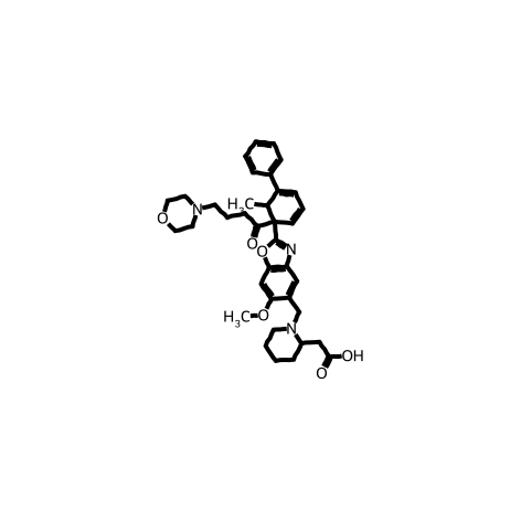 COc1cc2oc(C3(C(=O)CCCN4CCOCC4)C=CC=C(c4ccccc4)C3C)nc2cc1CN1CCCCC1CC(=O)O